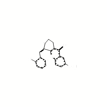 O=C(O)c1ccc2oc3c(c(=O)c2c1)CCC/C3=C/c1ccccc1Cl